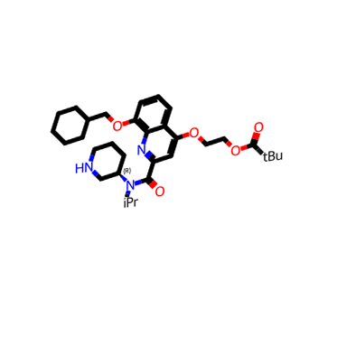 CC(C)N(C(=O)c1cc(OCCOC(=O)C(C)(C)C)c2cccc(OCC3CCCCC3)c2n1)[C@@H]1CCCNC1